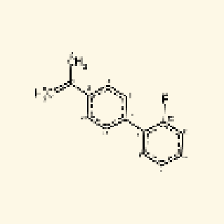 C=C(C)c1ccc(-c2ccccc2F)cc1